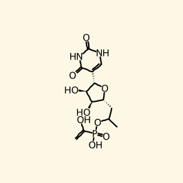 C=C(O)P(=O)(O)OC(C)C[C@H]1O[C@@H](c2c[nH]c(=O)[nH]c2=O)[C@H](O)[C@@H]1O